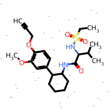 C#CCOc1ccc(C2CCCCC2NC(=O)[C@@H](NS(=O)(=O)CC)C(C)C)cc1OC